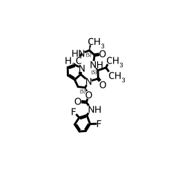 CN[C@@H](C)C(=O)N[C@H](C(=O)N1c2ncccc2C[C@@H]1OC(=O)Nc1c(F)cccc1F)C(C)C